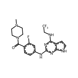 CN1CCN(C(=O)c2ccc(Nc3nc(NCC(F)(F)F)c4cc[nH]c4n3)cc2F)CC1